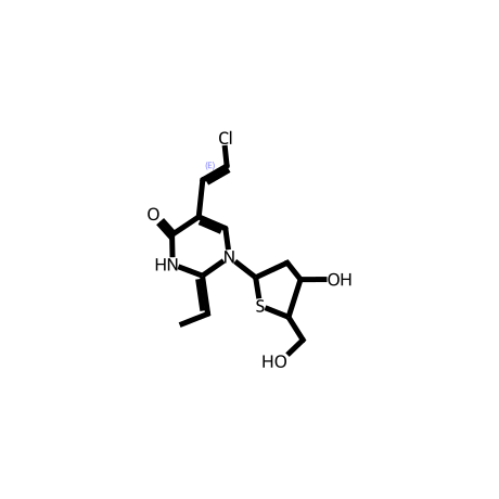 CC=C1NC(=O)C(/C=C/Cl)=CN1C1CC(O)C(CO)S1